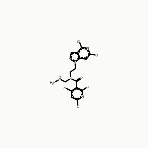 NNCN(CCn1ncc2c(Cl)nc(Cl)cc21)C(=O)c1c(Cl)cc(Cl)nc1Cl